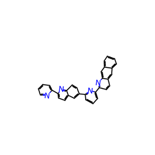 c1ccc(-c2ccc3cc(-c4cccc(-c5ccc6cc7ccccc7cc6n5)n4)ccc3n2)nc1